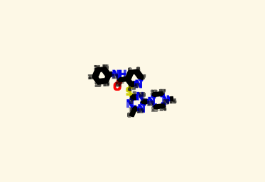 Cc1nc(Sc2ncccc2C(=O)Nc2ccccc2)nc(N2CCN(C)CC2)n1